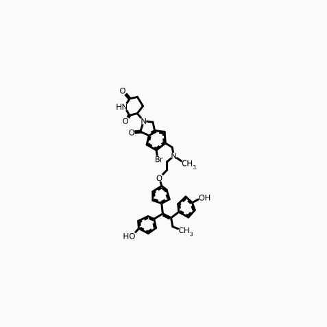 CCC(=C(c1ccc(O)cc1)c1ccc(OCCN(C)Cc2cc3c(cc2Br)C(=O)N(C2CCC(=O)NC2=O)C3)cc1)c1ccc(O)cc1